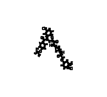 CC(F)(F)Oc1ccc(C(=O)N2CC(C(=O)NC34CC(NC(=O)COc5ccc(Cl)c(F)c5)(C3)C4)Oc3ccc(Cl)cc32)cc1